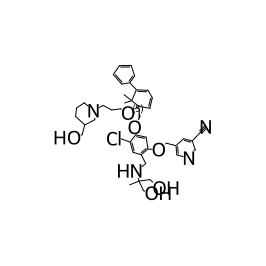 CC(CO)(CO)NCc1cc(Cl)c(OC[C@]2(OCCCN3CCCC(CO)C3)C=CC=C(c3ccccc3)C2(C)C)cc1OCc1cncc(C#N)c1